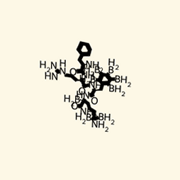 Bc1c(B)c(B)c(C[C@H](NC(=O)[C@@H](CCCNC(=N)N)NC(=O)[C@@H](N)Cc2ccccc2)C(=O)N[C@@](B)(CCCC(B)(B)N)C(N)=O)c(B)c1B